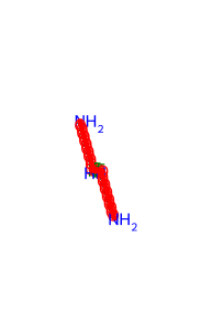 NCCOCCOCCOCCOCCOCCOCCOCCOCCOCCOCCOCCCC(=O)C(F)(F)OC(F)(F)C(F)(F)OC(F)(F)C(=O)NCCOCCOCCOCCOCCOCCOCCOCCOCCOCCOCCOCCN